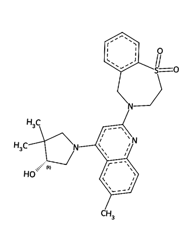 Cc1ccc2nc(N3CCS(=O)(=O)c4ccccc4C3)cc(N3C[C@H](O)C(C)(C)C3)c2c1